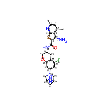 Cc1cc(C)c2c(N)c(C(=O)N[C@H]3COc4cc(N5CC6CC(C5)N6)cc(F)c4C3)sc2n1